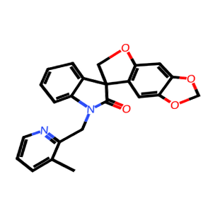 Cc1cccnc1CN1C(=O)C2(COc3cc4c(cc32)OCO4)c2ccccc21